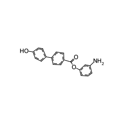 Nc1cccc(OC(=O)c2ccc(-c3ccc(O)cc3)cc2)c1